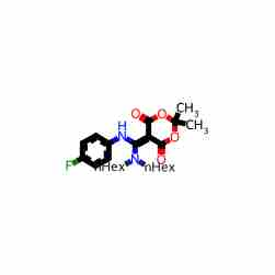 CCCCCCN(CCCCCC)C(Nc1ccc(F)cc1)=C1C(=O)OC(C)(C)OC1=O